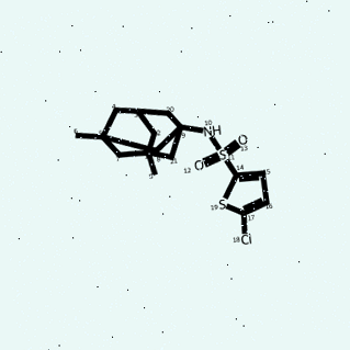 CC12CC3CC(C)(C1)CC(NS(=O)(=O)c1ccc(Cl)s1)(C3)C2